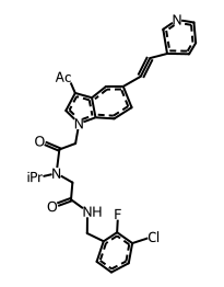 CC(=O)c1cn(CC(=O)N(CC(=O)NCc2cccc(Cl)c2F)C(C)C)c2ccc(C#Cc3cccnc3)cc12